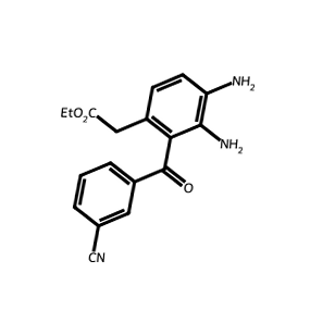 CCOC(=O)Cc1ccc(N)c(N)c1C(=O)c1cccc(C#N)c1